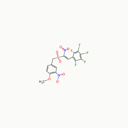 COc1ccc(CS(=O)(=O)C(=Cc2c(F)c(F)c(F)c(F)c2F)[N+](=O)[O-])cc1[N+](=O)[O-]